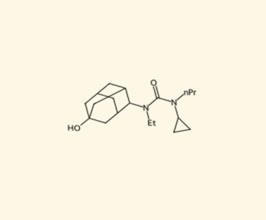 CCCN(C(=O)N(CC)C1C2CC3CC1CC(O)(C3)C2)C1CC1